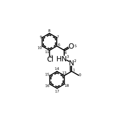 CC(=NNC(=O)c1ccccc1Cl)c1ccccc1